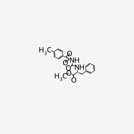 COC(=O)[C@H](Cc1ccccc1)NC(=O)NS(=O)(=O)c1ccc(C)cc1